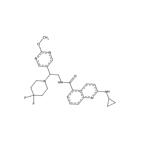 COc1ncc(C(CNC(=O)c2cccc3nc(NC4CC4)ccc23)N2CCC(F)(F)CC2)cn1